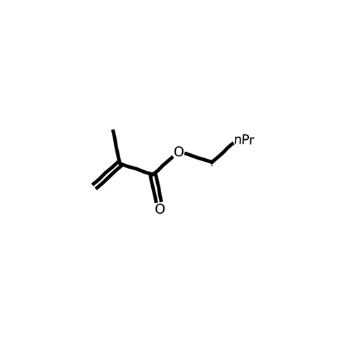 C=C(C)C(=O)O[CH]CCC